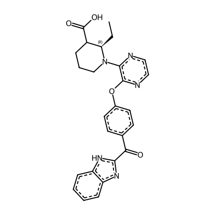 CC[C@@H]1C(C(=O)O)CCCN1c1nccnc1Oc1ccc(C(=O)c2nc3ccccc3[nH]2)cc1